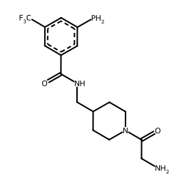 NCC(=O)N1CCC(CNC(=O)c2cc(P)cc(C(F)(F)F)c2)CC1